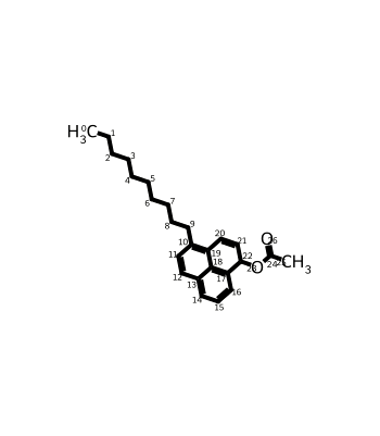 CCCCCCCCCCc1ccc2cccc3c2c1C=CC3OC(C)=O